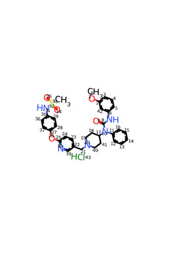 COc1cccc(NC(=O)N(c2ccccc2)C2CCN(Cc3ccc(Oc4ccc(NS(C)(=O)=O)cc4)nc3)CC2)c1.Cl